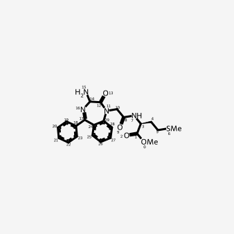 COC(=O)[C@H](CCSC)NC(=O)CN1C(=O)C(N)N=C(c2ccccc2)c2ccccc21